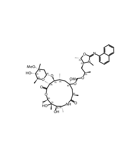 CO[C@]1(OCO[C@H](C)C[C@H]2[C@H](C)OC(=Nc3cccc4ccccc34)N2C)C[C@@H](C)C(=O)N[C@H](C)[C@@H](O)[C@](C)(O)[C@@H](I)OC(=O)[C@H](C)[C@@H](O[C@H]2C[C@@](C)(OC)[C@@H](O)[C@H](C)O2)[C@H](C)C1